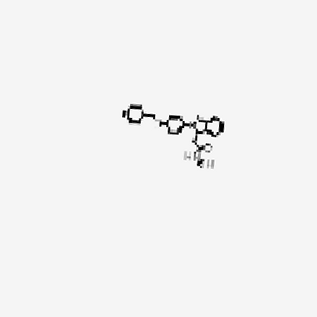 O=C(CC1c2ccccc2SN1c1ccc(OCc2ccncc2)cc1)NO